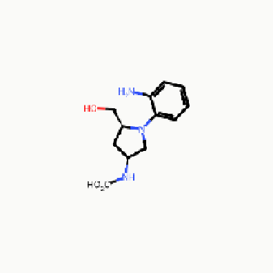 Nc1ccccc1N1C[C@@H](NC(=O)O)C[C@H]1CO